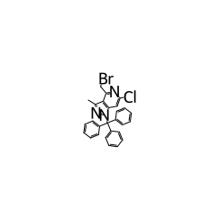 Cc1nn(C(c2ccccc2)(c2ccccc2)c2ccccc2)c2cc(Cl)nc(CBr)c12